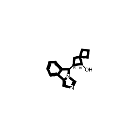 O[C@@H]1[C@@H](C2c3ccccc3-c3cncn32)CC12CCC2